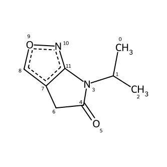 CC(C)N1C(=O)Cc2conc21